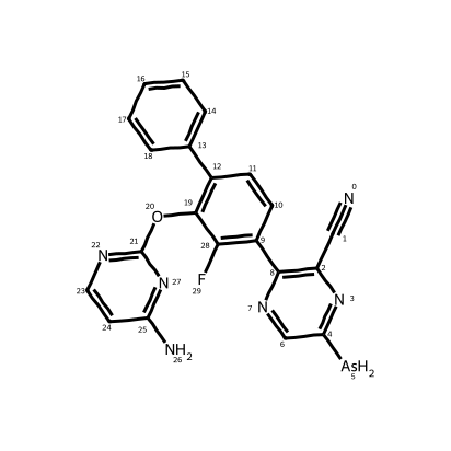 N#Cc1nc([AsH2])cnc1-c1ccc(-c2ccccc2)c(Oc2nccc(N)n2)c1F